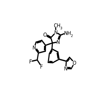 CN1C(=O)C(c2cccc(-c3cocn3)c2)(c2ccnc(C(F)F)c2)N=C1N